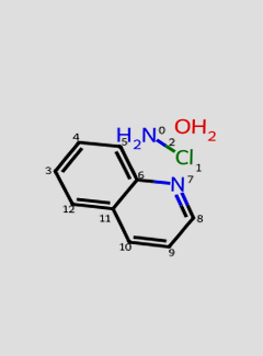 NCl.O.c1ccc2ncccc2c1